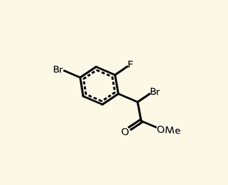 COC(=O)C(Br)c1ccc(Br)cc1F